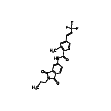 CCCN1C(=O)c2ccc(NC(=O)c3ccc(/C=C/C(F)(F)F)cc3C)cc2C1=O